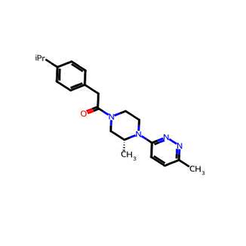 Cc1ccc(N2CCN(C(=O)Cc3ccc(C(C)C)cc3)C[C@H]2C)nn1